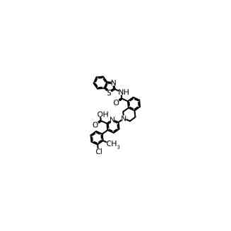 Cc1c(Cl)cccc1-c1ccc(N2CCc3cccc(C(=O)Nc4nc5ccccc5s4)c3C2)nc1C(=O)O